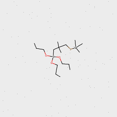 CCCO[Si](CC(C)(C)CS[Si](C)(C)C)(OCCC)OCCC